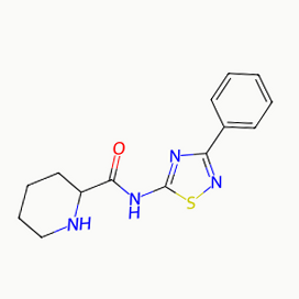 O=C(Nc1nc(-c2ccccc2)ns1)C1CCCCN1